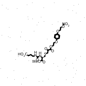 COC(=O)[C@H](CSCC(=O)C(=O)OCCOc1ccc(OCCO[N+](=O)[O-])cc1)NC(=O)NCCCC(=O)O